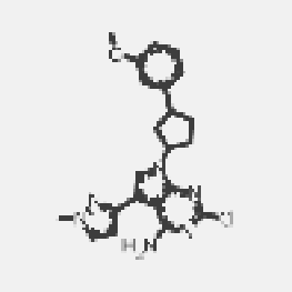 COc1cccc(C2CCC(n3cc(-c4ccn(C)n4)c4c(N)nc(Cl)nc43)C2)c1